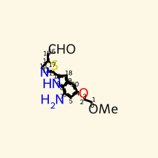 COCCOc1cc(N)c2[nH]c(C3=NCC(CC=O)S3)cc2c1